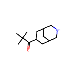 CC(C)(C)C(=O)C1CC2CNCC(C2)C1